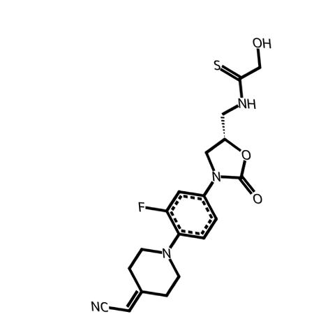 N#CC=C1CCN(c2ccc(N3C[C@H](CNC(=S)CO)OC3=O)cc2F)CC1